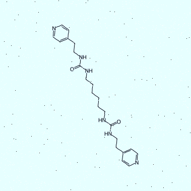 O=C(NCCCCCCNC(=O)NCCc1ccncc1)NCCc1ccncc1